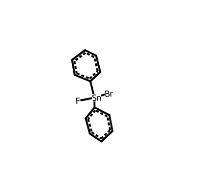 [F][Sn]([Br])([c]1ccccc1)[c]1ccccc1